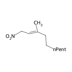 CCCCCCCC(C)=CC[N+](=O)[O-]